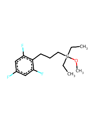 CC[Si](CC)(CCCc1c(F)cc(F)cc1F)OC